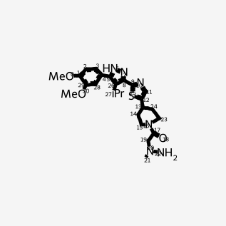 COc1ccc(-c2[nH]nc(-c3ncc(C4CCN(C(=O)CN(C)N)CC4)s3)c2C(C)C)cc1OC